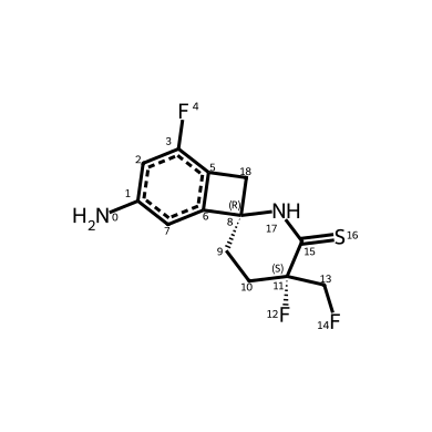 Nc1cc(F)c2c(c1)[C@@]1(CC[C@](F)(CF)C(=S)N1)C2